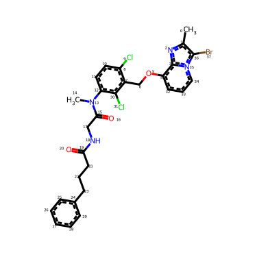 Cc1nc2c(OCc3c(Cl)ccc(N(C)C(=O)CNC(=O)CCCc4ccccc4)c3Cl)cccn2c1Br